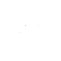 C/C=C(/F)C(=NC(=O)NS(=O)(=O)c1ccccc1)/N=C/N(C)C